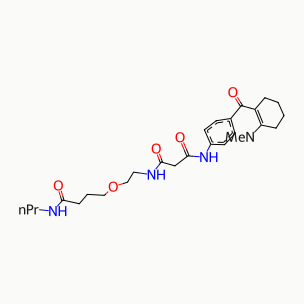 CCCNC(=O)CCCOCCNC(=O)CC(=O)Nc1ccc(C(=O)C2=C(NC)CCCC2)cc1